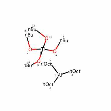 CCCCCCC[CH2][Al]([CH2]CCCCCCC)[CH2]CCCCCCC.CCCC[O][Ti]([O]CCCC)([O]CCCC)[O]CCCC